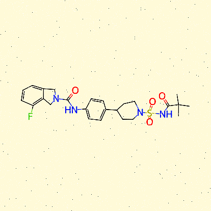 CC(C)(C)C(=O)NS(=O)(=O)N1CCC(c2ccc(NC(=O)N3Cc4cccc(F)c4C3)cc2)CC1